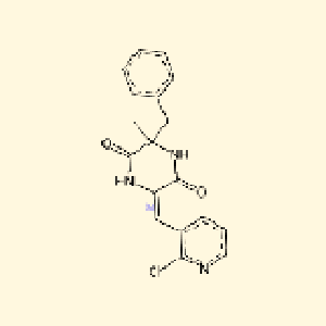 CC1(Cc2ccccc2)NC(=O)/C(=C\c2cccnc2Cl)NC1=O